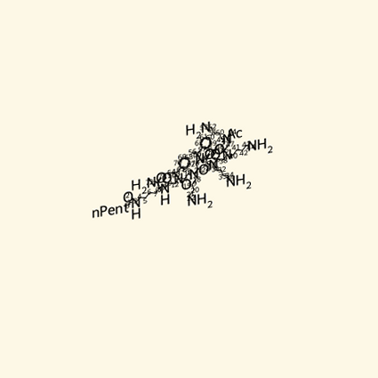 CCCCCC(=O)NCCCC[C@H](NC(=O)CN(C(=O)CN(CCCCN)C(=O)CN(C(=O)CN(CCCCN)C(=O)CN(CCCCN)C(=O)CN(CCCCN)C(C)=O)[C@@H](C)c1ccccc1)[C@@H](C)c1ccccc1)C(N)=O